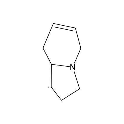 [CH]1CCN2CC=CCC12